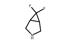 FC1(F)C2CNCC21